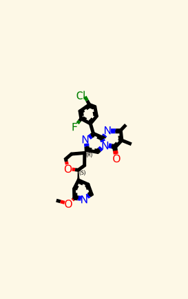 COc1cc([C@@H]2C[C@H](c3cn4c(=O)c(C)c(C)nc4c(-c4ccc(Cl)cc4F)n3)CCO2)ccn1